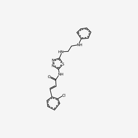 O=C(C=Cc1ccccc1Cl)Nc1nnc(NCCNc2ccccc2)s1